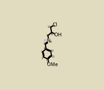 COc1ccc(/C=N/CC(O)CCl)cc1